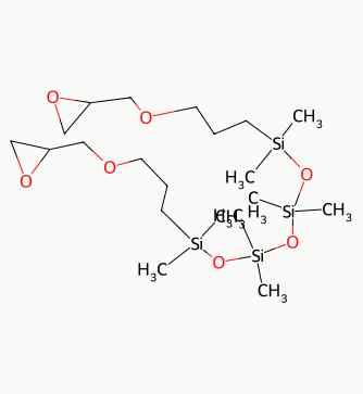 C[Si](C)(CCCOCC1CO1)O[Si](C)(C)O[Si](C)(C)O[Si](C)(C)CCCOCC1CO1